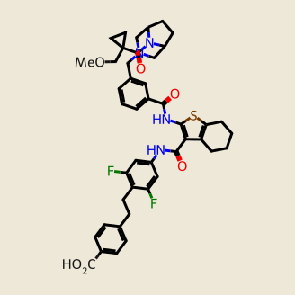 COCC1(C(=O)N2C3CCC2CN(Cc2cccc(C(=O)Nc4sc5c(c4C(=O)Nc4cc(F)c(CCc6ccc(C(=O)O)cc6)c(F)c4)CCCC5)c2)C3)CC1